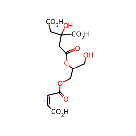 O=C(O)/C=C\C(=O)OCC(CO)OC(=O)CC(O)(CC(=O)O)C(=O)O